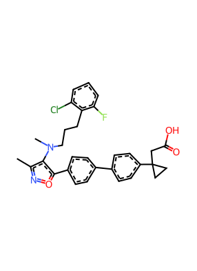 Cc1noc(-c2ccc(-c3ccc(C4(CC(=O)O)CC4)cc3)cc2)c1N(C)CCCc1c(F)cccc1Cl